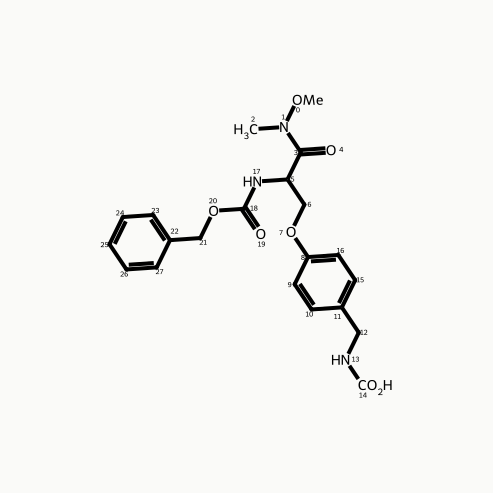 CON(C)C(=O)C(COc1ccc(CNC(=O)O)cc1)NC(=O)OCc1ccccc1